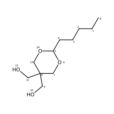 CCCCCC1OCC(CO)(CO)CO1